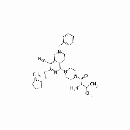 CC(C)C(N)C(=O)N1CCN(c2nc(OC[C@@H]3CCCN3C)c(C#N)c3c2CCN(Cc2ccccc2)C3)CC1